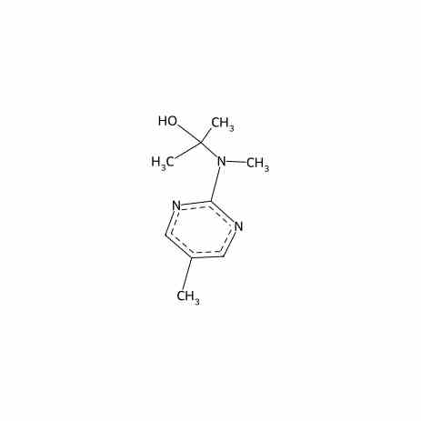 Cc1cnc(N(C)C(C)(C)O)nc1